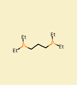 CCP(CC)CCCP(CC)CC